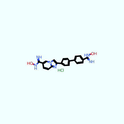 Cl.N=C(NO)c1ccc(-c2ccc(-c3cn4cc(C(=N)NO)ccc4n3)cc2)cc1